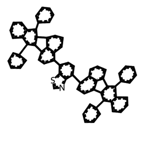 c1ccc(-c2c3c(c(-c4ccccc4)c4ccccc24)-c2ccc(-c4ccc(-c5ccc6c7c(cccc57)-c5c-6c(-c6ccccc6)c6ccccc6c5-c5ccccc5)c5scnc45)c4cccc-3c24)cc1